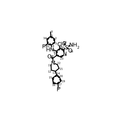 Cc1ccc(Nc2c(C(=O)N3CCC(c4ccc(F)cc4)CC3)cnc(S(N)(=O)=O)c2Cl)c(F)c1